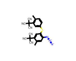 Cc1ccc(Sc2cc(C(C#N)(C#N)C#N)c(C)cc2N=[N+]=[N-])cc1C(C#N)(C#N)C#N